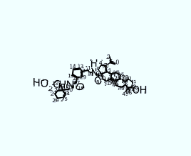 C=C(C)[C@@H]1CC[C@]2(C(=O)NCCc3cccc(C(=O)NCC4(CC(=O)O)CCCCC4)c3)CC[C@]3(C)C(CCC4[C@@]5(C)CC[C@H](O)C(C)(C)C5CC[C@]43C)C12